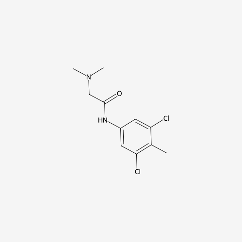 Cc1c(Cl)cc(NC(=O)CN(C)C)cc1Cl